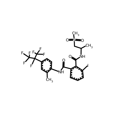 Cc1cc(C(F)(C(F)(F)F)C(F)(F)F)ccc1NC(=O)c1cccc(I)c1C(=O)NC(C)CS(C)(=O)=O